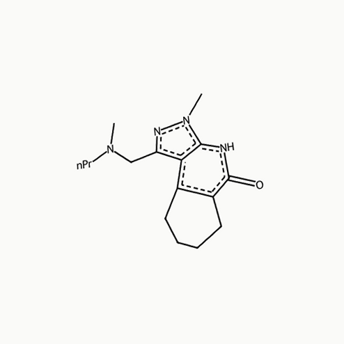 CCCN(C)Cc1nn(C)c2[nH]c(=O)c3c(c12)CCCC3